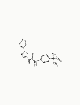 CC(C)(C)c1ccc(NC(=O)Nc2nnc(-c3ccncc3)s2)cc1